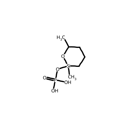 CC1CCC[Si](C)(OP(=O)(O)O)O1